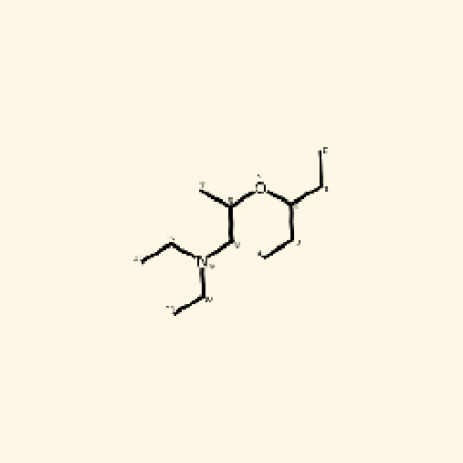 CCC(CC)OC(C)CN(CC)CC